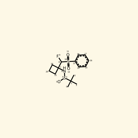 CC(C)(C)[S+]([O-])NC1(C(F)S(=O)(=O)c2ccccc2)CCC1